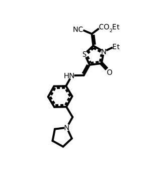 CCOC(=O)C(C#N)=c1sc(=CNc2cccc(CN3CCCC3)c2)c(=O)n1CC